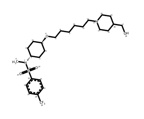 CN([C@H]1CC[C@H](OCCCCCCN2CCC(CO)CC2)CC1)S(=O)(=O)c1ccc(C(F)(F)F)cc1